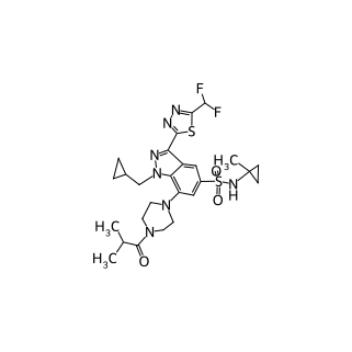 CC(C)C(=O)N1CCN(c2cc(S(=O)(=O)NC3(C)CC3)cc3c(-c4nnc(C(F)F)s4)nn(CC4CC4)c23)CC1